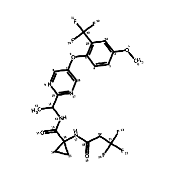 COc1ccc(Oc2cnc(C(C)NC(=O)C3(NC(=O)CC(F)(F)F)CC3)nc2)c(C(F)(F)F)c1